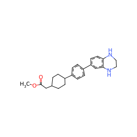 COC(=O)CC1CCC(c2ccc(-c3ccc4c(c3)NCCN4)cc2)CC1